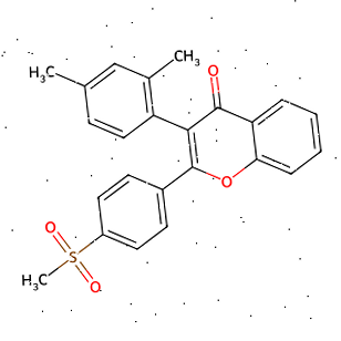 Cc1ccc(-c2c(-c3ccc(S(C)(=O)=O)cc3)oc3ccccc3c2=O)c(C)c1